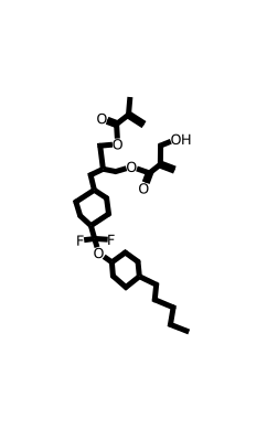 C=C(C)C(=O)OCC(COC(=O)C(=C)CO)CC1CCC(C(F)(F)OC2CCC(CCCCC)CC2)CC1